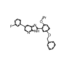 CC(C)Oc1ccc(OCc2ccccc2)cc1-c1nc2cc(-c3cccc(F)c3)cnc2[nH]1